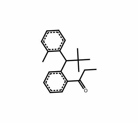 CCC(=O)c1ccccc1C(c1ccccc1C)C(C)(C)C